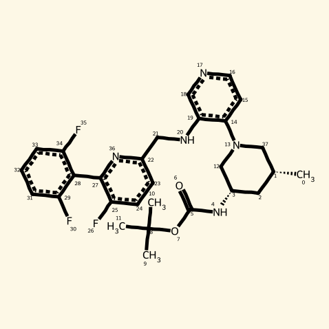 C[C@@H]1C[C@H](NC(=O)OC(C)(C)C)CN(c2ccncc2NCc2ccc(F)c(-c3c(F)cccc3F)n2)C1